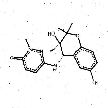 Cn1nc(N[C@H]2c3cc(C#N)ccc3OC(C)(C)[C@]2(C)O)ccc1=O